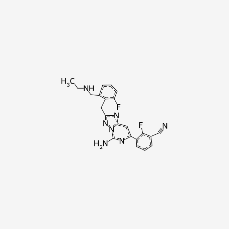 CCNCc1cccc(F)c1Cc1nc2cc(-c3cccc(C#N)c3F)nc(N)n2n1